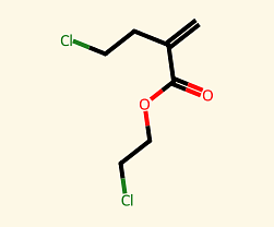 C=C(CCCl)C(=O)OCCCl